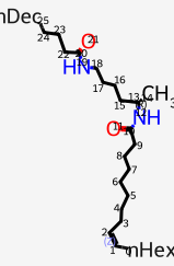 CCCCCC/C=C\CCCCCCCC(=O)N[C@H](C)CCCCNC(=O)CCCCCCCCCCCCC